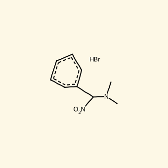 Br.CN(C)C(c1ccccc1)[N+](=O)[O-]